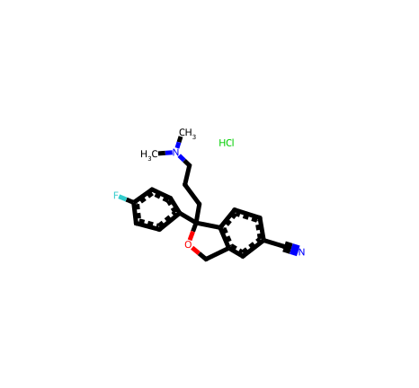 CN(C)CCCC1(c2ccc(F)cc2)OCc2cc(C#N)ccc21.Cl